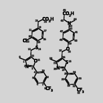 Cc1nc(-c2ccc(C(F)(F)F)cc2)oc1CSc1ccc(CC(=O)O)cc1Cl.Cc1nc(-c2ccc(C(F)(F)F)cc2)sc1COc1ccc(N(C)CC(=O)O)cc1